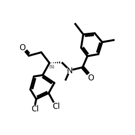 Cc1cc(C)cc(C(=O)N(C)C[C@@H](CC=O)c2ccc(Cl)c(Cl)c2)c1